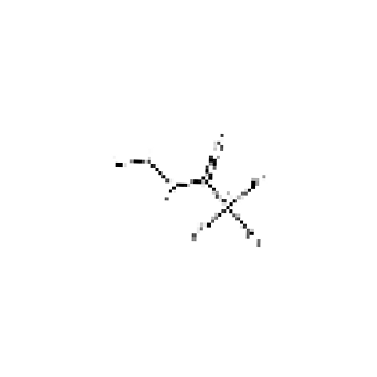 C[CH]SC(=O)C(F)(F)F